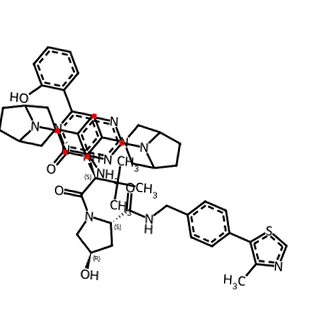 Cc1ncsc1-c1ccc(CNC(=O)[C@@H]2C[C@@H](O)CN2C(=O)[C@@H](NC(=O)CN2C3CCC2CC(c2cnc(N4C5CCC4CN(c4cc(-c6ccccc6O)nnc4N)C5)nc2)C3)C(C)(C)C)cc1